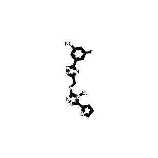 CCn1c(SCc2noc(-c3cc(F)cc(C#N)c3)n2)nnc1-c1ccco1